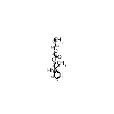 CCC1(CCOC(=O)COCCOC)Nc2ccccc21